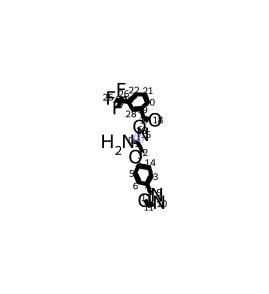 N/C(COc1ccc(-c2nnco2)cc1)=N\OC(=O)c1cccc(C(F)(F)F)c1